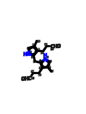 Cc1c[nH]c(Cc2[nH]cc(C)c2CCC=O)c1CCC=O